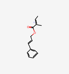 C/C=C(\C)C(=O)OCC=Cc1ccccc1